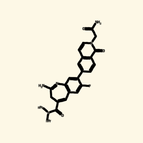 CCCN(CCC)C(=O)C1=Cc2cc(F)c(-c3ccc4c(=O)n(CC(N)=O)ccc4c3)cc2N=C(N)C1